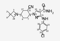 CC1(C)CN(C2CCC(n3cc(C(N)=O)c(Nc4ccc(Cl)cc4)n3)C(C#N)C2)C1